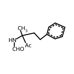 CC(=O)C(C)(CCc1ccccc1)NC=O